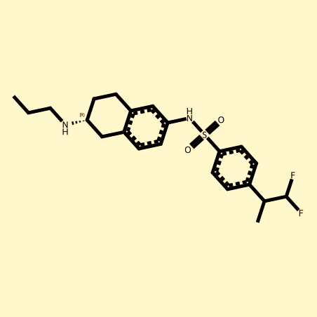 CCCN[C@@H]1CCc2cc(NS(=O)(=O)c3ccc(C(C)C(F)F)cc3)ccc2C1